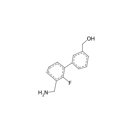 NCc1cccc(-c2cccc(CO)c2)c1F